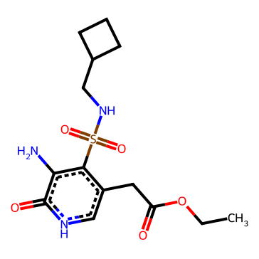 CCOC(=O)Cc1c[nH]c(=O)c(N)c1S(=O)(=O)NCC1CCC1